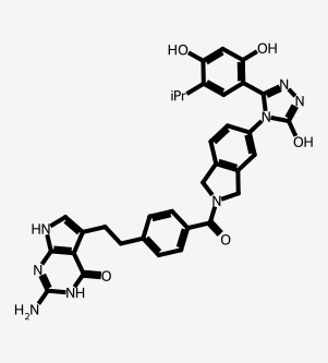 CC(C)c1cc(-c2nnc(O)n2-c2ccc3c(c2)CN(C(=O)c2ccc(CCc4c[nH]c5nc(N)[nH]c(=O)c45)cc2)C3)c(O)cc1O